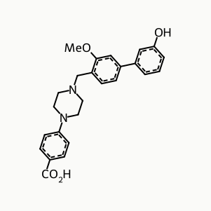 COc1cc(-c2cccc(O)c2)ccc1CN1CCN(c2ccc(C(=O)O)cc2)CC1